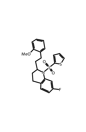 COc1ccccc1CCC1CCc2ccc(F)cc2N1S(=O)(=O)c1cccs1